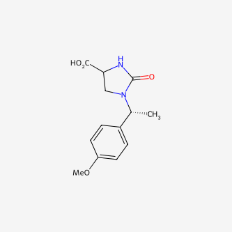 COc1ccc([C@@H](C)N2CC(C(=O)O)NC2=O)cc1